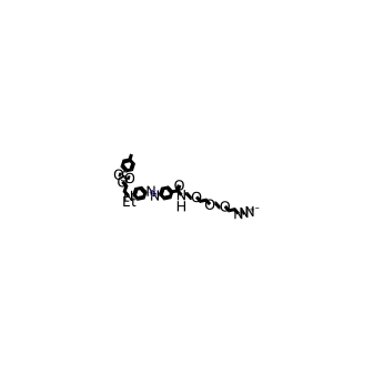 CCN(CCOS(=O)(=O)c1ccc(C)cc1)c1ccc(/N=N/c2ccc(C(=O)NCCOCCOCCOCCN=[N+]=[N-])cc2)cc1